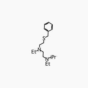 CCN(CCSCc1ccccc1)CCN(CC)C(C)C